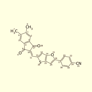 Cc1cc2c(cc1C)C(=O)C(=Cc1cc3oc(-c4ccc(C#N)cc4)cc3s1)C2=O